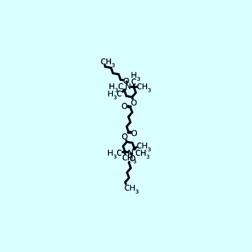 CCCCCCON1C(C)(C)CC(OC(=O)CCCCC(=O)OC2CC(C)(C)N(OCCCCCC)C(C)(C)C2)CC1(C)C